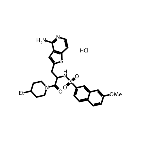 CCC1CCN(C(=O)C(Cc2cc3c(N)nccc3s2)NS(=O)(=O)c2ccc3ccc(OC)cc3c2)CC1.Cl